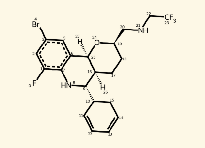 Fc1cc(Br)cc2c1N[C@@H](C1C=CC=CC1)[C@@H]1CC[C@H](CNCC(F)(F)F)O[C@H]21